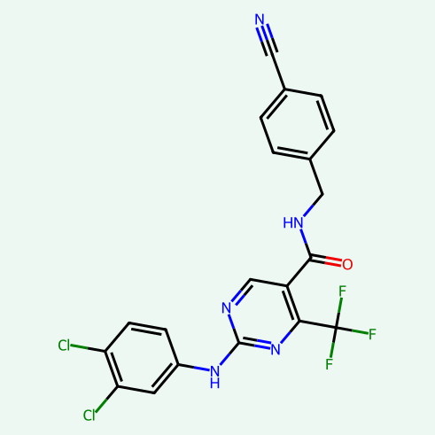 N#Cc1ccc(CNC(=O)c2cnc(Nc3ccc(Cl)c(Cl)c3)nc2C(F)(F)F)cc1